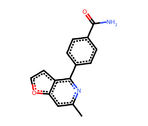 Cc1cc2occc2c(-c2ccc(C(N)=O)cc2)n1